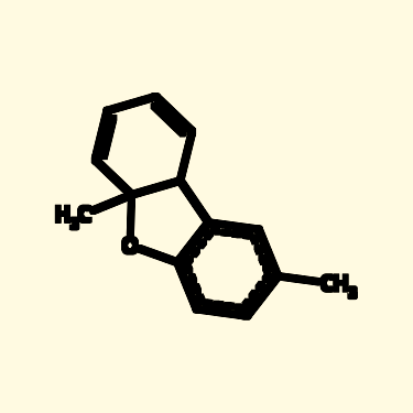 Cc1ccc2c(c1)C1C=CC=CC1(C)O2